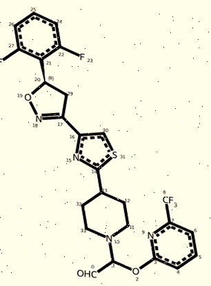 O=CC(Oc1cccc(C(F)(F)F)n1)N1CCC(c2nc(C3=NO[C@@H](c4c(F)cccc4F)C3)cs2)CC1